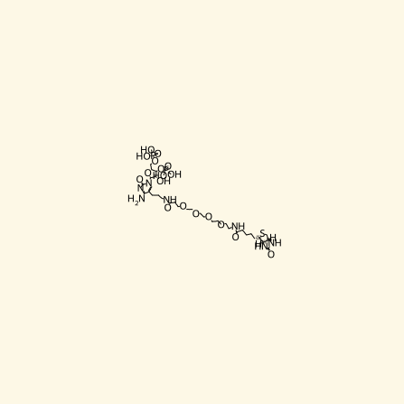 Nc1nc(=O)n(C2OC(COP(=O)(O)O)C(OP(=O)(O)O)C2O)cc1CCCNC(=O)CCOCCOCCOCCOCCNC(=O)CCCC[C@@H]1SC[C@@H]2NC(=O)N[C@@H]21